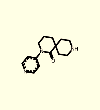 O=C1N(c2ccncc2)CCCC12CCNCC2